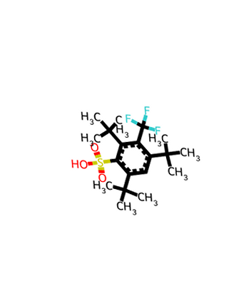 CC(C)(C)c1cc(C(C)(C)C)c(S(=O)(=O)O)c(C(C)(C)C)c1C(F)(F)F